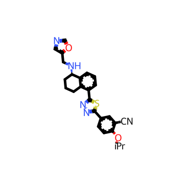 CC(C)Oc1ccc(-c2nnc(-c3cccc4c3CCC[C@H]4NCc3cnco3)s2)cc1C#N